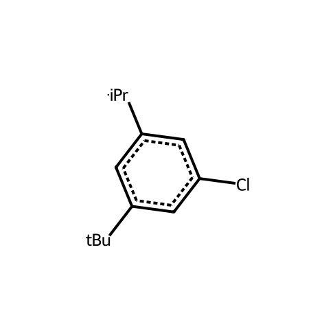 C[C](C)c1cc(Cl)cc(C(C)(C)C)c1